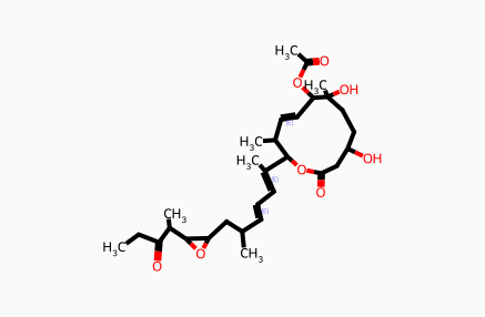 CCC(=O)C(C)C1OC1CC(C)/C=C/C=C(\C)C1OC(=O)CC(O)CCC(C)(O)C(OC(C)=O)/C=C/C1C